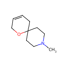 CN1CCC2(CC=CCO2)CC1